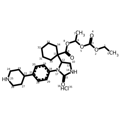 CCOC(=O)OC(C)OC(=O)C1(C2CNC(=O)N2c2ccc(C3CCNCC3)cc2)CCCCC1.Cl